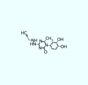 C#CCNNc1nc(C)n(-c2ccc(O)c(O)c2)c(=O)n1